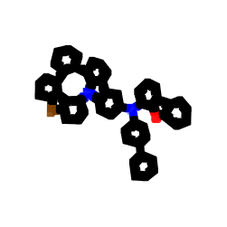 c1ccc(-c2ccc(N(c3ccc4c(c3)c3cccc5c6ccccc6c6cccc7sc8cccc(c8c76)n4c53)c3cccc4c3oc3ccccc34)cc2)cc1